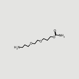 NCCCOCCOCCCOC(N)=O